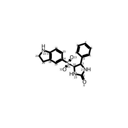 O=C1NC(c2ccccc2)[C@H](S(=O)(=O)c2ccc3c(c2)CCN3)N1